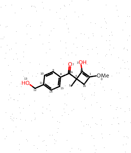 COC1=C(O)C(C)(C(=O)c2ccc(CO)cc2)C1